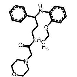 CCOc1ccccc1NC(CCNC(=O)CN1CCOCC1)c1ccccc1